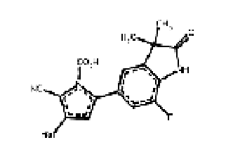 CC(C)(C)c1cc(-c2cc(F)c3c(c2)C(C)(C)C(=O)N3)n(C(=O)O)c1C#N